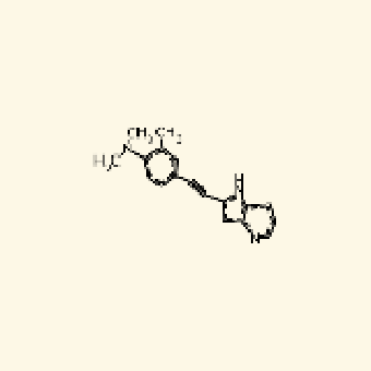 Cc1cc(C#Cc2cc3ncccc3[nH]2)ccc1N(C)C